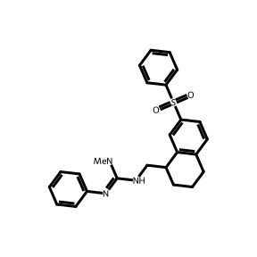 CN/C(=N\c1ccccc1)NCC1CCCc2ccc(S(=O)(=O)c3ccccc3)cc21